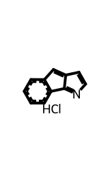 C1=CC2=Cc3ccccc3C2=N1.Cl